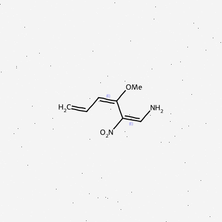 C=C/C=C(OC)\C(=C/N)[N+](=O)[O-]